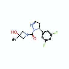 CC(C)C1(O)CN(C(=O)N2N=CC[C@H]2c2cc(F)cc(F)c2)C1